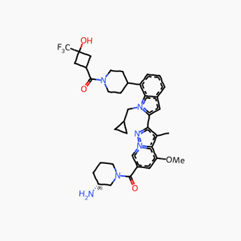 COc1cc(C(=O)N2CCC[C@@H](N)C2)cn2nc(-c3cc4cccc(C5CCN(C(=O)C6CC(O)(C(F)(F)F)C6)CC5)c4n3CC3CC3)c(C)c12